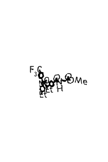 CCC1CCC2(CC1)N=C(c1ccc(C(F)(F)F)cc1)C(=O)N2[C@H](CC)c1ccc(C(=O)NCCC(=O)OC)cc1